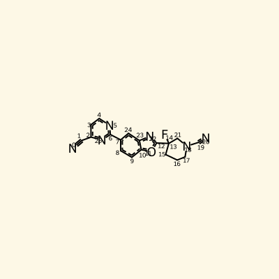 N#Cc1ccnc(-c2ccc3oc(C4(F)CCCN(C#N)C4)nc3c2)n1